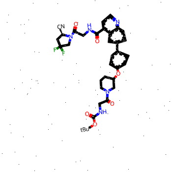 CC(C)(C)OC(=O)NCC(=O)N1CCCC(Oc2ccc(-c3ccc4nccc(C(=O)NCC(=O)N5CC(F)(F)C[C@H]5C#N)c4c3)cc2)C1